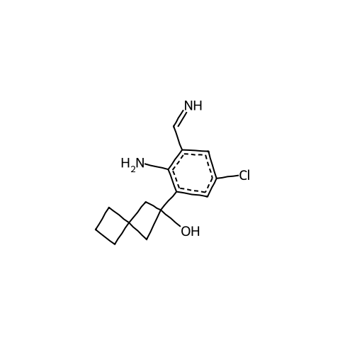 N=Cc1cc(Cl)cc(C2(O)CC3(CCC3)C2)c1N